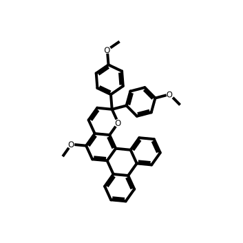 COc1ccc(C2(c3ccc(OC)cc3)C=Cc3c(OC)cc4c5ccccc5c5ccccc5c4c3O2)cc1